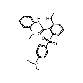 CNc1cccc(S(=O)(=O)c2ccc([N+](=O)[O-])cc2)c1C(=O)Nc1ccccc1OC